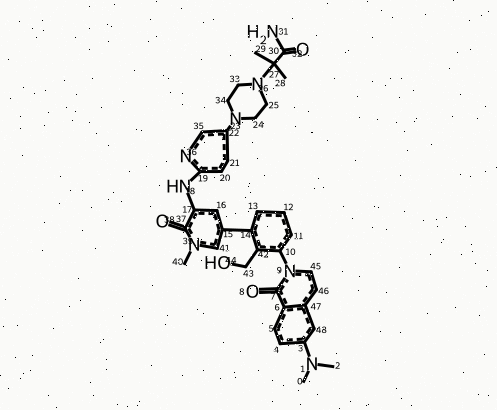 CN(C)c1ccc2c(=O)n(-c3cccc(-c4cc(Nc5ccc(N6CCN(C(C)(C)C(N)=O)CC6)cn5)c(=O)n(C)c4)c3CO)ccc2c1